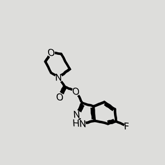 O=C(Oc1n[nH]c2cc(F)ccc12)N1CCOCC1